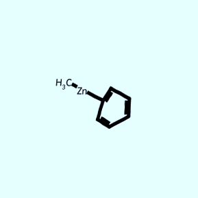 [CH3][Zn][c]1ccccc1